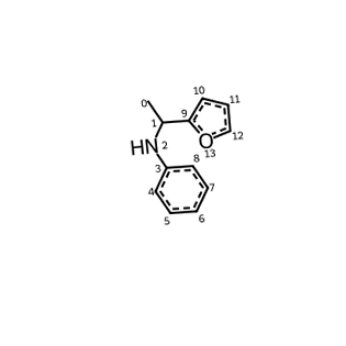 CC(Nc1ccccc1)c1ccco1